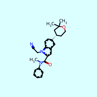 CN(C(=O)c1cc2cc([C@H]3CCOC(C)(C)C3)ccc2n1CC#N)c1ccccc1